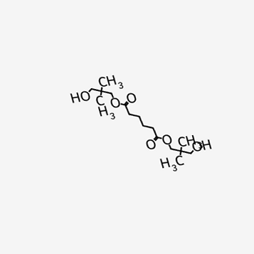 CC(C)(CO)COC(=O)CCCCC(=O)OCC(C)(C)CO